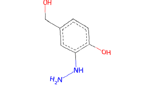 NNc1cc(CO)ccc1O